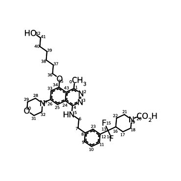 Cc1nnc(NCCc2cccc(C(F)(F)C3CCN(C(=O)O)CC3)c2)c2cc(N3CCOCC3)cc(OCCCCCCO)c12